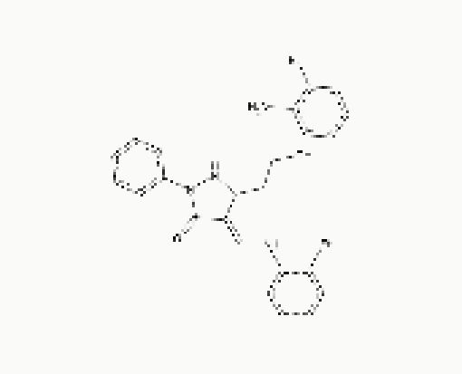 CCc1ccccc1N.CCc1ccccc1NC=C1C(=O)N(c2ccccc2)NC1CCO